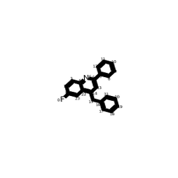 Fc1ccc2nc(-c3ccccc3)cc(Cc3ccccc3)c2c1